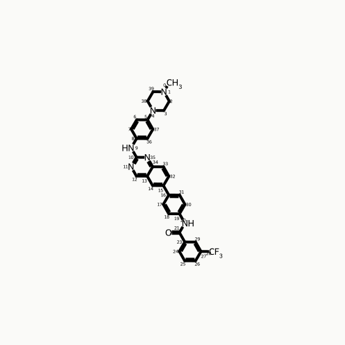 CN1CCN(c2ccc(Nc3ncc4cc(-c5ccc(NC(=O)c6cccc(C(F)(F)F)c6)cc5)ccc4n3)cc2)CC1